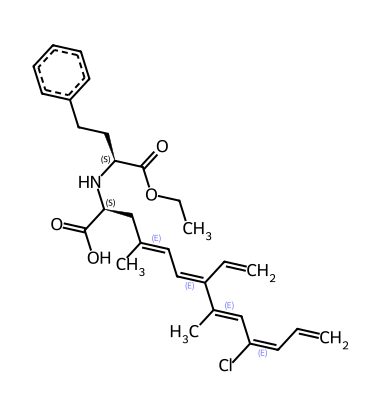 C=C\C=C(Cl)/C=C(C)/C(C=C)=C/C=C(\C)C[C@H](N[C@@H](CCc1ccccc1)C(=O)OCC)C(=O)O